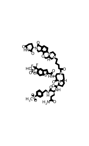 CS(=O)(=O)c1ccc(CNC(=O)[C@H](CCC(N)=O)NC(=O)[C@@H]2CC[C@@H]3CCN(C(=O)CCCCN4CCN5c6ccc7c(c6OC[C@H]5C4)CN([C@H]4CCC(=O)NC4=O)C7=O)C[C@H](NC(=O)c4cc5cc(C(F)(F)P(=O)(O)O)ccc5s4)C(=O)N32)cc1